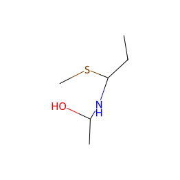 CCC(NC(C)O)SC